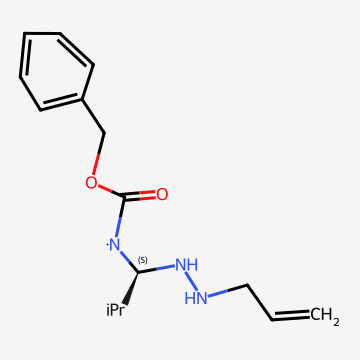 C=CCNN[C@H]([N]C(=O)OCc1ccccc1)C(C)C